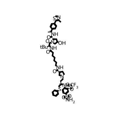 Cc1ncsc1-c1ccc([C@H](C)NC(=O)[C@@H]2C[C@@H](O)CN2C(=O)[C@@H](NC(=O)CCCCCCNC(=O)[C@H]2CCN(CC[C@H](CSc3ccccc3)Nc3ccc(S(N)(=O)=O)cc3S(=O)(=O)C(F)(F)F)C2)C(C)(C)C)cc1